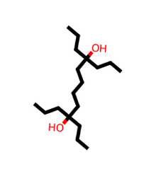 CCCC(O)(CCC)CCCCC(O)(CCC)CCC